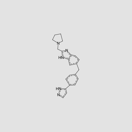 c1cc(-c2ccc(Cc3ccc4nc(CN5CCCC5)[nH]c4c3)cc2)[nH]n1